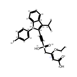 CCO/C(=C\C(=O)O)CP(=O)(O)C#Cc1c(C(C)C)c2ccccc2n1-c1ccc(F)cc1